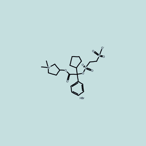 Br.C[N+]1(C)CCC(OC(=O)C(OS(=O)(=O)CCS(=O)(=O)[O-])(c2ccccc2)C2CCCC2)C1